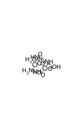 C[C@@]1(c2ccc(C(=N)N)cc2)NC(=O)N(CC(=O)N[C@@H](CC(=O)O)c2ccc(C(=O)O)cc2)C1=O